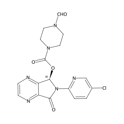 O=CN1CCN(C(=O)O[C@@H]2c3nccnc3C(=O)N2c2ccc(Cl)cn2)CC1